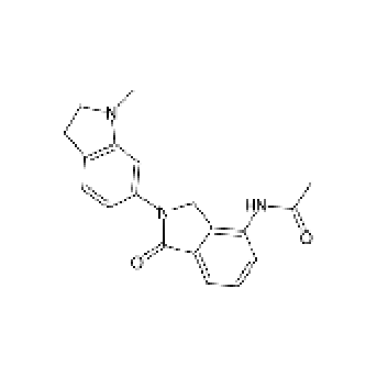 CC(=O)Nc1cccc2c1CN(c1ccc3c(c1)N(C)CC3)C2=O